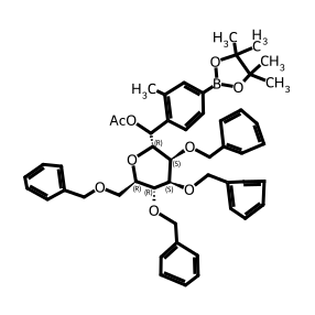 CC(=O)OC(c1ccc(B2OC(C)(C)C(C)(C)O2)cc1C)[C@H]1O[C@H](COCc2ccccc2)[C@@H](OCc2ccccc2)[C@H](OCc2ccccc2)[C@@H]1OCc1ccccc1